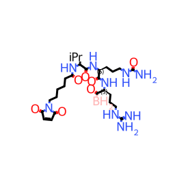 BC(=O)[C@H](CCCNC(=N)N)NC(=O)[C@H](CCCNC(N)=O)NC(=O)C(NC(=O)CCCCCN1C(=O)C=CC1=O)C(C)C